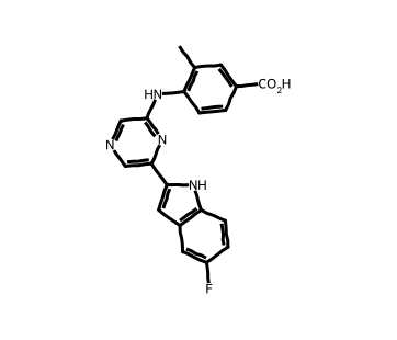 Cc1cc(C(=O)O)ccc1Nc1cncc(-c2cc3cc(F)ccc3[nH]2)n1